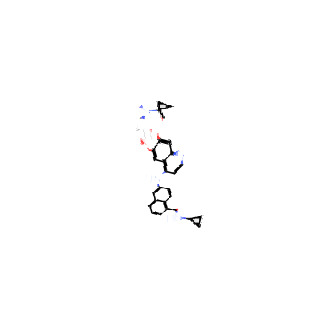 COc1cc2c(Nc3ccc4c(C(=O)NC5CC5)cccc4c3)ccnc2cc1OCC1(N(C)C)CC1